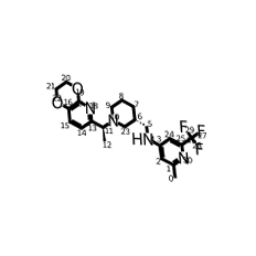 Cc1cc(NC[C@H]2CCCN([C@@H](C)c3ccc4c(n3)OCCO4)C2)cc(C(F)(F)F)n1